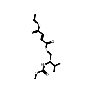 CCOC(=O)/C=C/C(=O)OC[C@H](NC(=O)OC)C(C)C